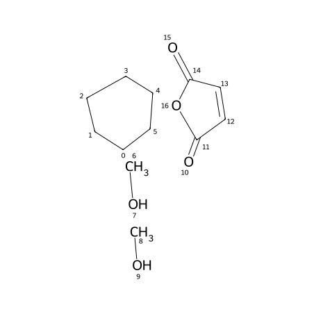 C1CCCCC1.CO.CO.O=C1C=CC(=O)O1